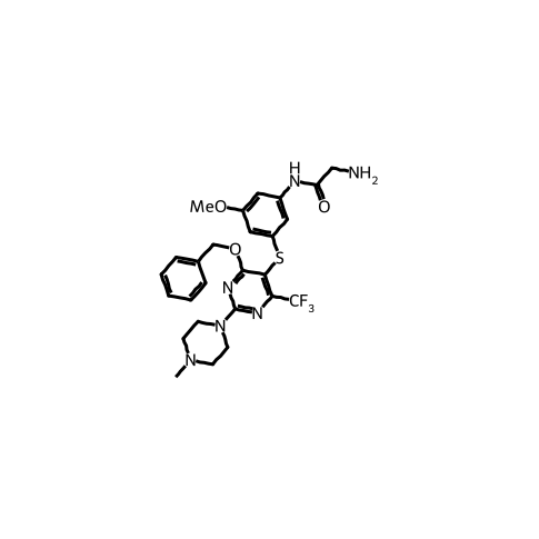 COc1cc(NC(=O)CN)cc(Sc2c(OCc3ccccc3)nc(N3CCN(C)CC3)nc2C(F)(F)F)c1